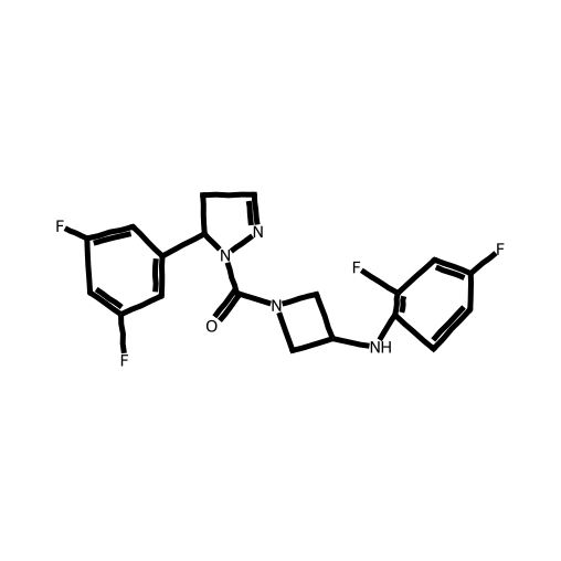 O=C(N1CC(Nc2ccc(F)cc2F)C1)N1N=CCC1c1cc(F)cc(F)c1